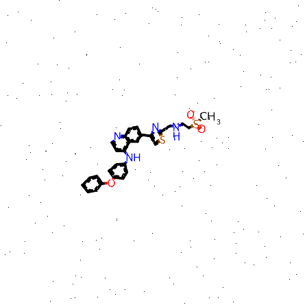 CS(=O)(=O)CCNCc1nc(-c2ccc3nccc(Nc4ccc(Oc5ccccc5)cc4)c3c2)cs1